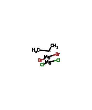 C[CH]C.[Br][Mg][Br].[Cl][Mg][Cl]